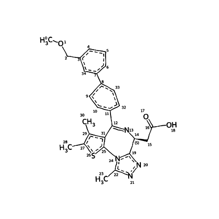 COCc1cccc(-c2ccc(C3=N[C@@H](CC(=O)O)c4nnc(C)n4-c4sc(C)c(C)c43)cc2)c1